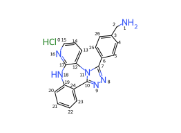 Cl.NCc1ccc(-c2nnc3n2-c2cccnc2Nc2ccccc2-3)cc1